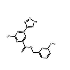 COc1cccc(CNC(=O)c2cc(-c3nn[nH]n3)nc(C)n2)c1